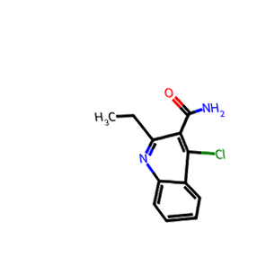 CCc1nc2ccccc2c(Cl)c1C(N)=O